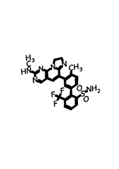 CNc1ncc2c(n1)N1CCN=C1C(c1cc(-c3c(C(F)(F)F)cccc3S(N)(=O)=O)ccc1C)=C2